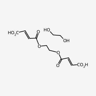 O=C(O)/C=C/C(=O)OCCOC(=O)/C=C/C(=O)O.OCCO